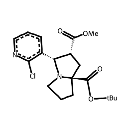 COC(=O)[C@@H]1C[C@]2(C(=O)OC(C)(C)C)CCCN2[C@@H]1c1cccnc1Cl